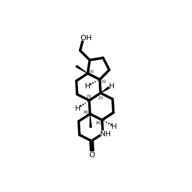 C[C@]12CCC(=O)N[C@@H]1CC[C@@H]1[C@@H]2CC[C@]2(C)C(CO)CC[C@@H]12